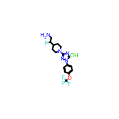 Cl.NCC(F)C1CCN(c2ncn(-c3ccc(OC(F)(F)F)cc3)n2)CC1